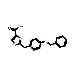 O=C(O)c1coc(Cc2ccc(OCc3ccccc3)cc2)n1